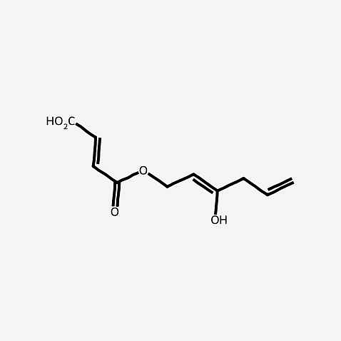 C=CCC(O)=CCOC(=O)C=CC(=O)O